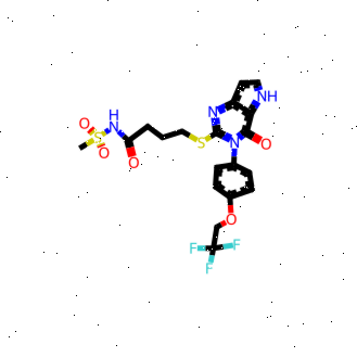 CS(=O)(=O)NC(=O)CCCSc1nc2cc[nH]c2c(=O)n1-c1ccc(OCC(F)(F)F)cc1